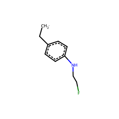 [CH2]Cc1ccc(NCCF)cc1